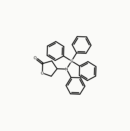 O=C1CC(N(c2ccccc2)[Si](c2ccccc2)(c2ccccc2)c2ccccc2)CO1